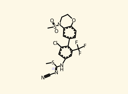 CS/C(=N\C#N)Nc1cc(Cl)c(-c2ccc3c(c2)N(S(C)(=O)=O)CCO3)c(C(F)(F)F)c1